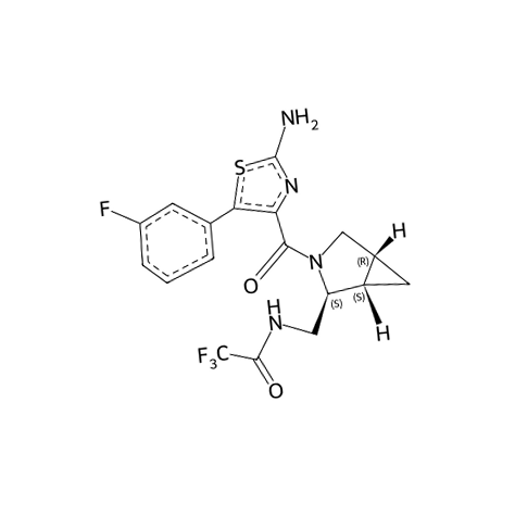 Nc1nc(C(=O)N2C[C@@H]3C[C@@H]3[C@H]2CNC(=O)C(F)(F)F)c(-c2cccc(F)c2)s1